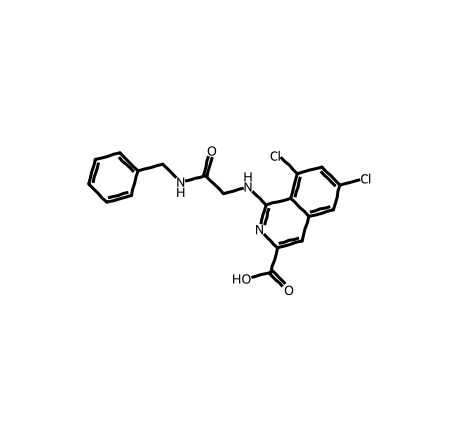 O=C(CNc1nc(C(=O)O)cc2cc(Cl)cc(Cl)c12)NCc1ccccc1